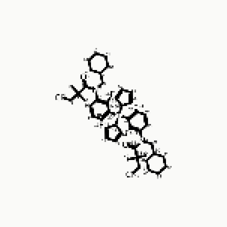 CC(C)(CCl)C(=O)N(CC1CCCCC1)c1ccc(F)[c]([Ti]([c]2c(F)ccc(N(CC3CCCCC3)C(=O)C(C)(C)CCl)c2F)([CH]2C=CC=C2)[CH]2C=CC=C2)c1F